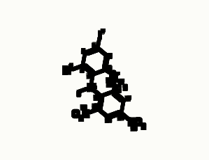 CN(c1c(Br)cc(I)cc1Br)c1c([N+](=O)[O-])cc([N+](=O)[O-])cc1C(F)(F)F